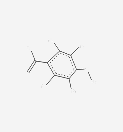 [C]=C(c1c(C(C)C)c(C(C)C)c(OC(C)C)c(C(C)C)c1C(C)C)C(C)C